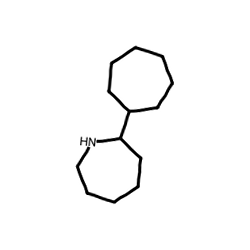 C1CCCC(C2CCCCCN2)CC1